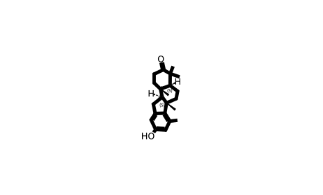 Cc1cc(O)cc2c1[C@@]1(C)CC[C@@H]3C(C)(C)C(=O)CC[C@@]3(C)[C@@H]1C2